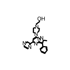 Cc1nn2c(N3CCN(CCO)CC3)cc(-c3cnccn3)nc2c1-c1ccccc1